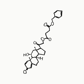 C[C@]12C=CC(=O)C=C1CC[C@@H]1C2[C@@H](O)C[C@@]2(C)C1CC[C@@H]2C(=O)COC(=O)CCC(=O)OCc1ccccc1